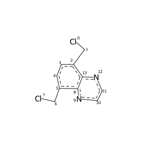 ClCc1ccc(CCl)c2nccnc12